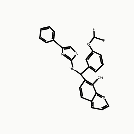 Oc1c(C(Nc2nc(-c3ccccc3)cs2)c2cccc(OC(F)F)c2)ccc2cccnc12